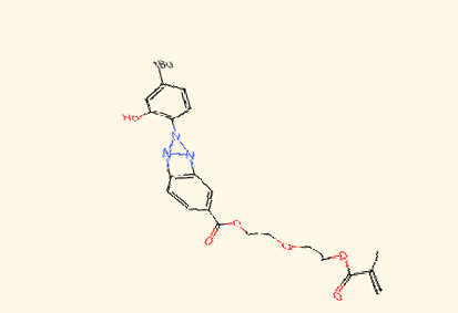 C=C(C)C(=O)OCCOCCOC(=O)c1ccc2c(c1)n1n(-c3ccc(C(C)(C)C)cc3O)n21